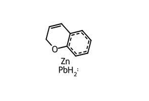 C1=Cc2ccccc2OC1.[PbH2].[Zn]